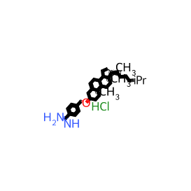 CC(C)CCC[C@@H](C)[C@H]1CCC2C3CC=C4CC(OCc5ccc(C(=N)N)cc5)CC[C@]4(C)C3CC[C@@]21C.Cl